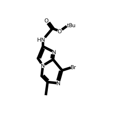 Cc1cn2cc(NC(=O)OC(C)(C)C)nc2c(Br)n1